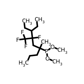 CCCC(C)(CC(F)(C(CC)CC)C(F)(F)F)P(OC)OC